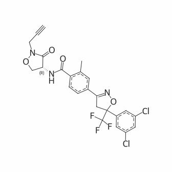 C#CCN1OC[C@@H](NC(=O)c2ccc(C3=NOC(c4cc(Cl)cc(Cl)c4)(C(F)(F)F)C3)cc2C)C1=O